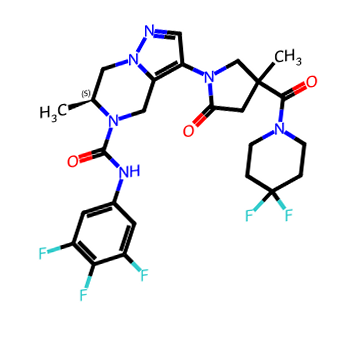 C[C@H]1Cn2ncc(N3CC(C)(C(=O)N4CCC(F)(F)CC4)CC3=O)c2CN1C(=O)Nc1cc(F)c(F)c(F)c1